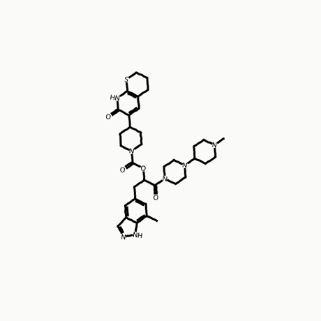 Cc1cc(CC(OC(=O)N2CCC(c3cc4c([nH]c3=O)SCCC4)CC2)C(=O)N2CCN(C3CCN(C)CC3)CC2)cc2cn[nH]c12